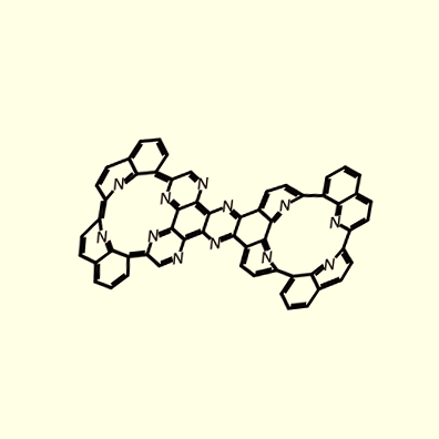 c1cc2ccc3nc2c(c1)c1ccc2c(n1)c1nc(ccc1c1nc4c5ncc6nc5c5nc(cnc5c4nc21)c1cccc2ccc(nc21)c1ccc2cccc6c2n1)c1cccc2ccc3nc21